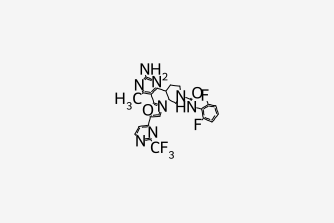 Cc1nc(N)nc(C2CCN(C(=O)Nc3c(F)cccc3F)CC2)c1-c1ncc(-c2ccnc(C(F)(F)F)n2)o1